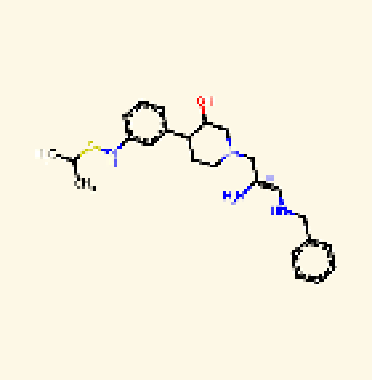 CC(C)SNc1cccc(C2CCN(C/C(N)=C/NCc3ccccc3)CC2O)c1